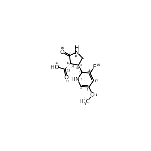 COC1=CNC([C@@H]2CNC(=O)[C@H]2C(=O)O)C(F)=C1